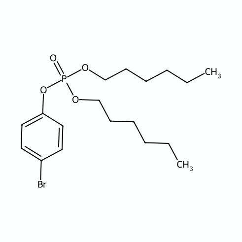 CCCCCCOP(=O)(OCCCCCC)Oc1ccc(Br)cc1